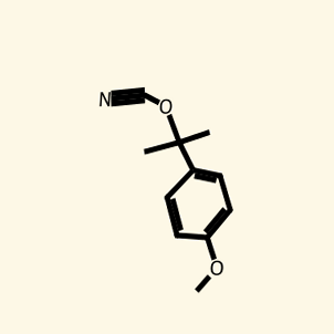 COc1ccc(C(C)(C)OC#N)cc1